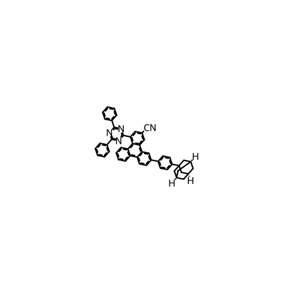 N#Cc1cc(-c2nc(-c3ccccc3)nc(-c3ccccc3)n2)c2c3ccccc3c3ccc(-c4ccc(C56C[C@H]7C[C@@H](C5)C[C@@H](C6)C7)cc4)cc3c2c1